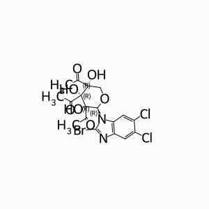 CC(=O)[C@@]1(O)[C@@](O)(C(C)=O)CO[C@@H](n2c(Br)nc3cc(Cl)c(Cl)cc32)[C@@]1(O)C(C)=O